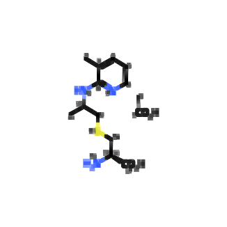 CC(=O)O.Cc1cccnc1NC(C)CSC[C@H](N)C(=O)O